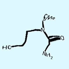 CSN(CCO)C(N)=O